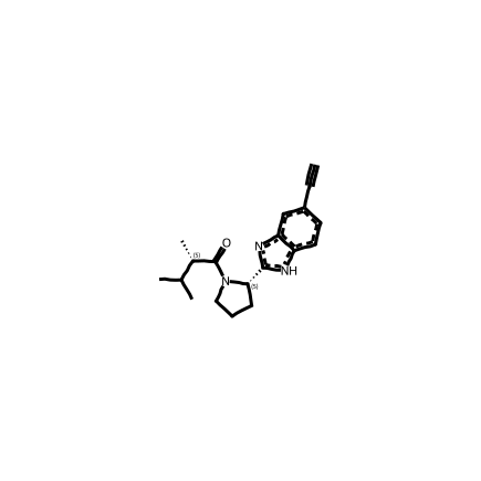 C#Cc1ccc2[nH]c([C@@H]3CCCN3C(=O)[C@@H](C)C(C)C)nc2c1